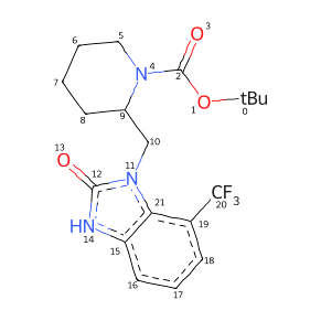 CC(C)(C)OC(=O)N1CCCCC1Cn1c(=O)[nH]c2cccc(C(F)(F)F)c21